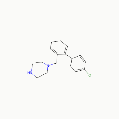 ClC1=CCC(C2=CCCC=C2CN2CCNCC2)C=C1